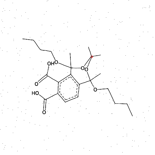 CCCCOC(C)(OCC)c1ccc(C(=O)O)c(C(=O)O)c1C(C)(OCC)OCCCC